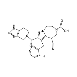 N#CC1CN(C(=O)O)CCn2nc(C(=O)N3CCc4[nH]nnc4C3)c(Cc3ccccc3F)c21